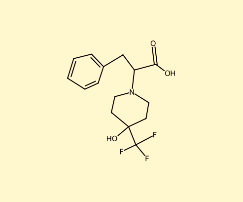 O=C(O)C(Cc1ccccc1)N1CCC(O)(C(F)(F)F)CC1